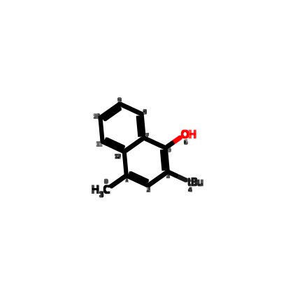 Cc1cc(C(C)(C)C)c(O)c2ccccc12